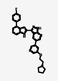 Fc1ccc(-c2cccc3[nH]c(-c4n[nH]c5ncc(-c6cncc(OCCN7CCCC7)c6)cc45)cc23)cc1